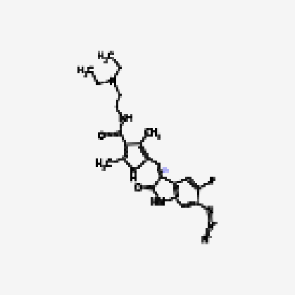 CCN(CC)CCNC(=O)c1c(C)[nH]c(/C=C2\C(=O)Nc3cc(N=[N+]=[N-])c(F)cc32)c1C